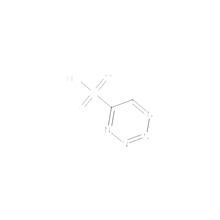 O=S(=O)(O)c1cnnnn1